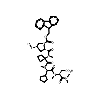 CCO[C@@H]1C[C@@H](C(=O)N(C)C2(C(=O)N(C)[C@H](C(=O)N(C)[C@@H](CC(=O)O)C(=O)N(C)C)C3CCCC3)CCC2)N(C(=O)OCC2c3ccccc3-c3ccccc32)C1